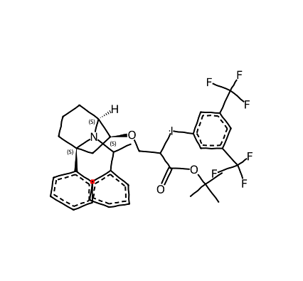 CC(c1ccccc1)N1[C@H]2CCC[C@@]1(c1ccccc1)C[C@@H]2OCC([I]c1cc(C(F)(F)F)cc(C(F)(F)F)c1)C(=O)OC(C)(C)C